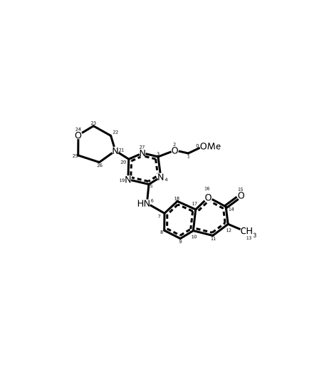 COCOc1nc(Nc2ccc3cc(C)c(=O)oc3c2)nc(N2CCOCC2)n1